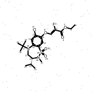 CCOC(=O)/C(F)=C/Oc1cc2c(cc1Cl)N(C(C)(C)C)C[C@@H](C(C)C)N(C)S2(=O)=O